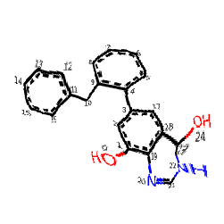 Oc1cc(-c2ccccc2Cc2ccccc2)cc2c1N=CNC2O